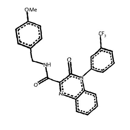 COc1ccc(CNC(=O)c2nc3ccccc3n(-c3cccc(C(F)(F)F)c3)c2=O)cc1